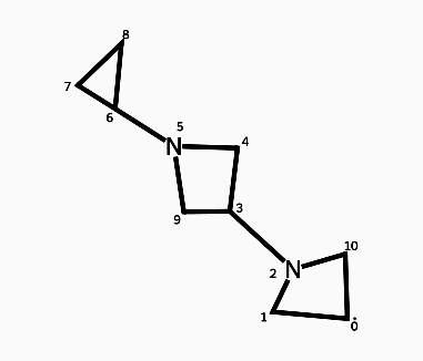 [CH]1CN(C2CN(C3CC3)C2)C1